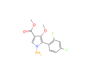 COC(=O)c1cn(P)c(-c2ccc(F)cc2F)c1OC